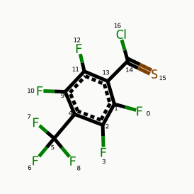 Fc1c(F)c(C(F)(F)F)c(F)c(F)c1C(=S)Cl